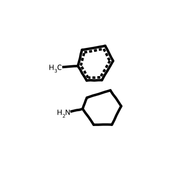 Cc1ccccc1.NC1CCCCC1